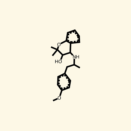 COc1ccc(CC(C)NC2c3ccccc3OC(C)(C)C2O)cc1